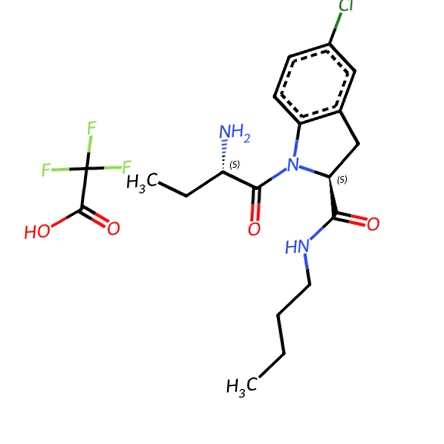 CCCCNC(=O)[C@@H]1Cc2cc(Cl)ccc2N1C(=O)[C@@H](N)CC.O=C(O)C(F)(F)F